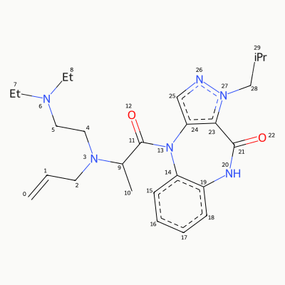 C=CCN(CCN(CC)CC)C(C)C(=O)N1c2ccccc2NC(=O)c2c1cnn2CC(C)C